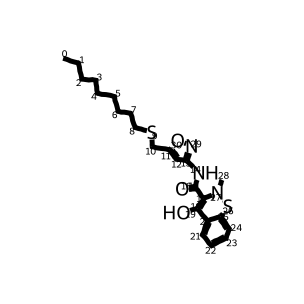 CCCCCCCCCSCc1cc(NC(=O)C2=C(O)c3ccccc3SN2C)no1